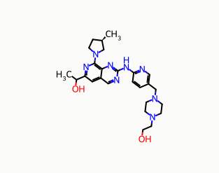 CC(O)c1cc2cnc(Nc3ccc(CN4CCN(CCO)CC4)cn3)nc2c(N2CC[C@@H](C)C2)n1